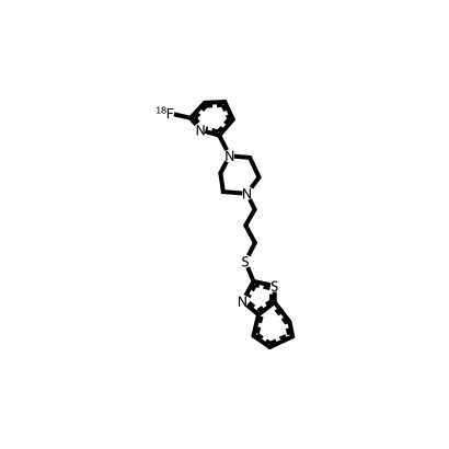 [18F]c1cccc(N2CCN(CCCSc3nc4ccccc4s3)CC2)n1